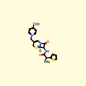 CSC(C(=O)NC1C(=O)N2C=C(C[n+]3ccc(C(=O)[O-])cc3)CS[C@H]12)c1cccs1